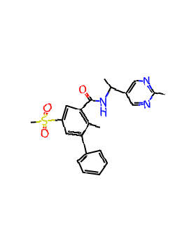 Cc1ncc(C(C)NC(=O)c2cc(S(C)(=O)=O)cc(-c3ccccc3)c2C)cn1